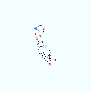 C[C@]12CC[C@@H]3c4ccc(OS(=O)(=O)C5COCCN5)cc4CC[C@H]3[C@@H]1C[C@@H](O)[C@@H]2O